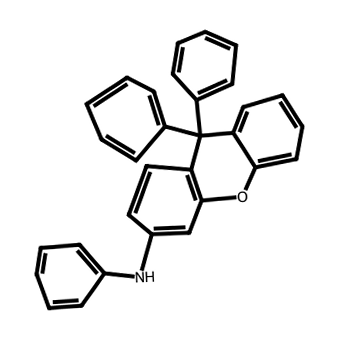 c1ccc(Nc2ccc3c(c2)Oc2ccccc2C3(c2ccccc2)c2ccccc2)cc1